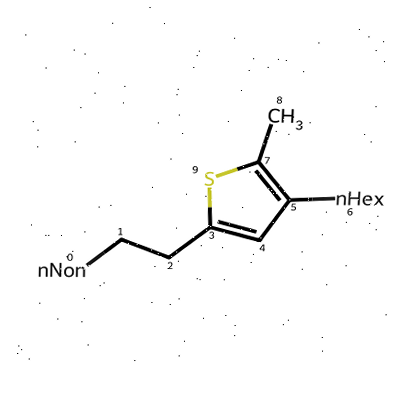 CCCCCCCCCCCc1cc(CCCCCC)c(C)s1